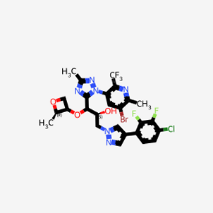 Cc1nc(C(OC2CO[C@@H]2C)[C@@H](O)Cn2cc(-c3ccc(Cl)c(F)c3F)cn2)n(-c2cc(Br)c(C)nc2C(F)(F)F)n1